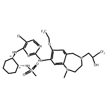 CN1CCN(CC(O)C(F)(F)F)Cc2cc(OCC(F)(F)F)c(Nc3ncc(Cl)c(N[C@@H]4CCCC[C@H]4NS(C)(=O)=O)n3)cc21